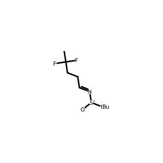 CC(F)(F)CCC=N[S+]([O-])C(C)(C)C